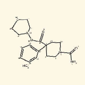 Cl.NC(=O)N1CCC(C(=O)ON2CCOCC2)(c2ccccc2)CC1